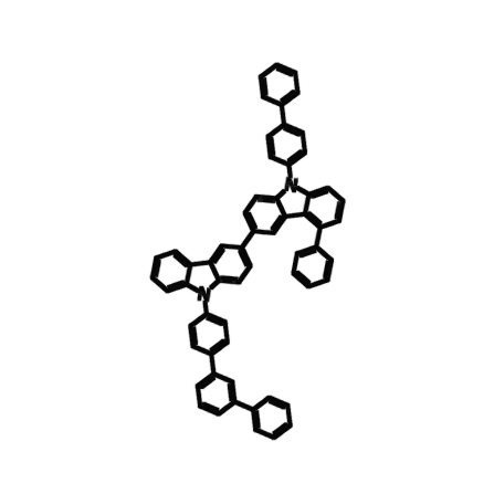 c1ccc(-c2ccc(-n3c4ccc(-c5ccc6c(c5)c5ccccc5n6-c5ccc(-c6cccc(-c7ccccc7)c6)cc5)cc4c4c(-c5ccccc5)cccc43)cc2)cc1